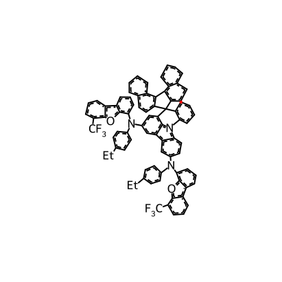 CCc1ccc(N(c2ccc3c(c2)c2cc(N(c4ccc(CC)cc4)c4cccc5c4oc4c(C(F)(F)F)cccc45)cc4c2n3-c2ccccc2C42c3ccc4ccccc4c3-c3c2ccc2ccccc32)c2cccc3c2oc2c(C(F)(F)F)cccc23)cc1